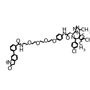 Cc1sc2c(c1C)C(c1ccc(Cl)cc1)=N[C@@H](CC(=O)Nc1ccc(OCCOCCOCCOCCNC(=O)c3cccc(-c4ccc5c(c4)NC(=O)C5)c3)cc1)c1nnc(C)n1-2